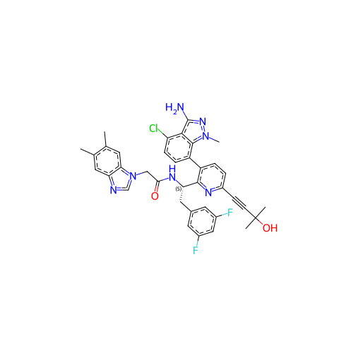 Cc1cc2ncn(CC(=O)N[C@@H](Cc3cc(F)cc(F)c3)c3nc(C#CC(C)(C)O)ccc3-c3ccc(Cl)c4c(N)nn(C)c34)c2cc1C